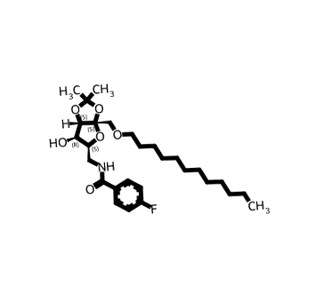 CCCCCCCCCCCCOC[C@@]12O[C@@H](CNC(=O)c3ccc(F)cc3)[C@@H](O)[C@@H]1OC(C)(C)O2